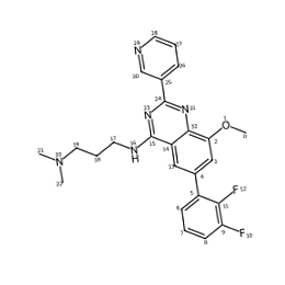 COc1cc(-c2cccc(F)c2F)cc2c(NCCCN(C)C)nc(-c3cccnc3)nc12